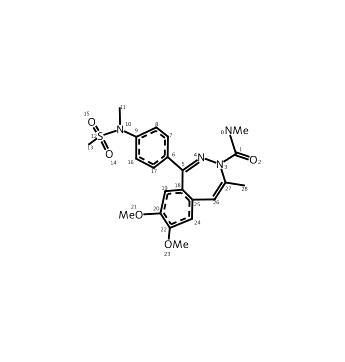 CNC(=O)N1N=C(c2ccc(N(C)S(C)(=O)=O)cc2)c2cc(OC)c(OC)cc2C=C1C